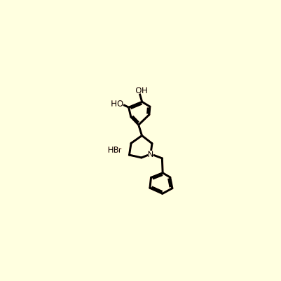 Br.Oc1ccc(C2CCCN(Cc3ccccc3)C2)cc1O